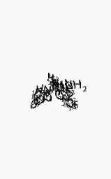 Nc1nc(C(=O)N2[C@H](CNC(=O)c3cccc4c3OCO4)C[C@@H]3C[C@@H]32)c(-c2cccc(F)c2)s1